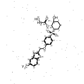 C[C@]1(O)CCCN(S(=O)(=O)c2ccc(OCc3nc4cc(C(F)(F)F)ccc4s3)cc2)[C@@H]1OC(=O)NO